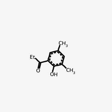 CCC(=O)c1cc(C)cc(C)c1O